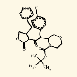 CC(C)(C)OC(=O)N1CCOCC1[C@@H](C(=O)N1C(=O)OCC1Cc1ccccc1)c1ccc(Cl)cc1